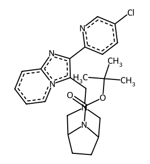 CC(C)(C)OC(=O)N1C2CCC1CN(Cc1c(-c3ccc(Cl)cn3)nc3ccccn13)C2